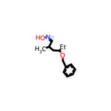 CCC(CC(C)/C=N\O)OCc1ccccc1